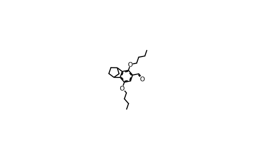 CCCCOc1cc(C=O)c(OCCCC)c2c1C1CCC2C1